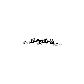 CCCCCCCCc1coc(-c2cc3c(s2)sc2c4cc(-c5cc(CCCCCCCC)co5)sc4sc32)c1